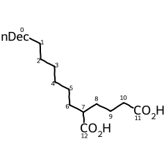 CCCCCCCCCCCCCCCCC(CCCC(=O)O)C(=O)O